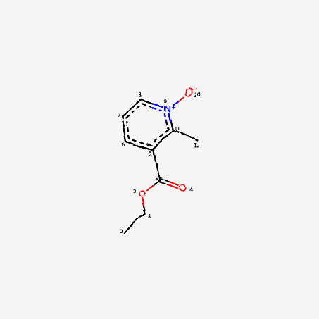 CCOC(=O)c1ccc[n+]([O-])c1C